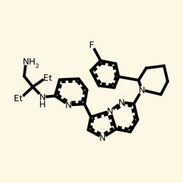 CCC(CC)(CN)Nc1cccc(-c2cnc3ccc(N4CCCCC4c4cccc(F)c4)nn23)n1